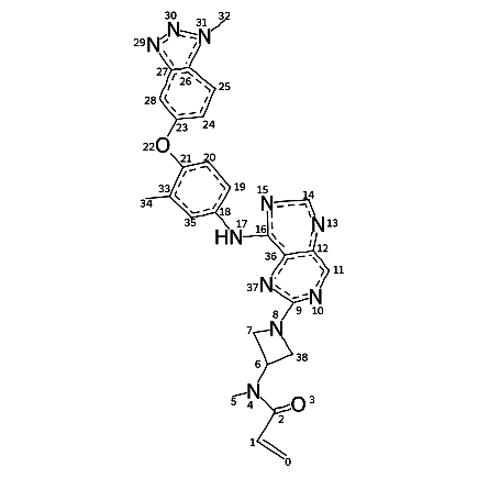 C=CC(=O)N(C)C1CN(c2ncc3ncnc(Nc4ccc(Oc5ccc6c(c5)nnn6C)c(C)c4)c3n2)C1